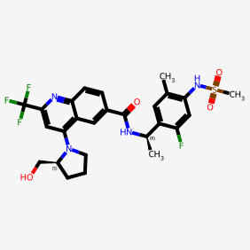 Cc1cc([C@@H](C)NC(=O)c2ccc3nc(C(F)(F)F)cc(N4CCC[C@H]4CO)c3c2)c(F)cc1NS(C)(=O)=O